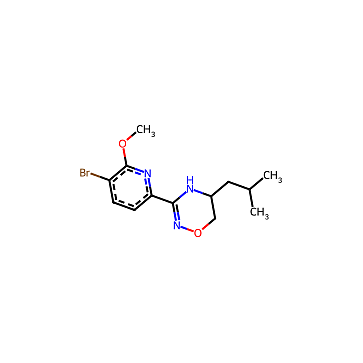 COc1nc(C2=NOCC(CC(C)C)N2)ccc1Br